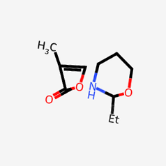 CC1=COC1=O.CCC1NCCCO1